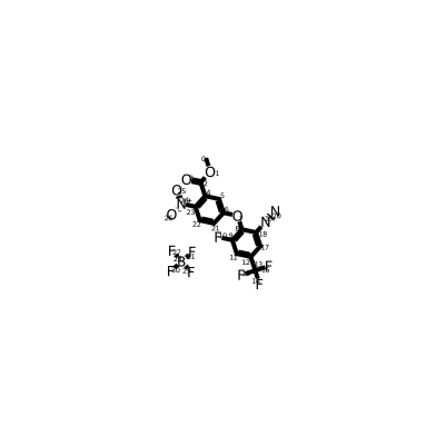 COC(=O)c1cc(Oc2c(F)cc(C(F)(F)F)cc2[N+]#N)ccc1[N+](=O)[O-].F[B-](F)(F)F